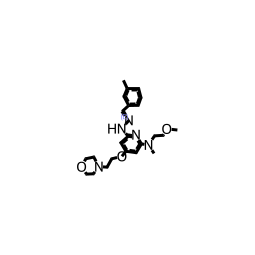 COCCN(C)c1cc(OCCN2CCOCC2)cc(N/N=C/c2cccc(C)c2)n1